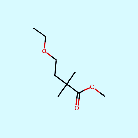 CCOCCC(C)(C)C(=O)OC